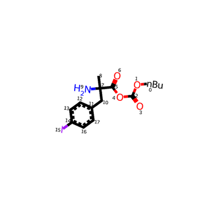 CCCCOC(=O)OC(=O)C(C)(N)Cc1ccc(I)cc1